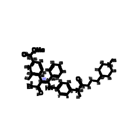 CCC(=O)/C(=C(\Nc1ccc(N(C)C(=O)CCCC2CCN(C)CC2)cc1)c1ccccc1)c1ccc(C(=O)OC)nc1C